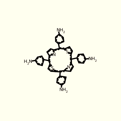 Nc1ccc(-c2c3nc(c(-c4ccc(N)cc4)c4ccc(s4)c(-c4ccc(N)cc4)c4nc(c(-c5ccc(N)cc5)c5ccc2s5)C=C4)C=C3)cc1